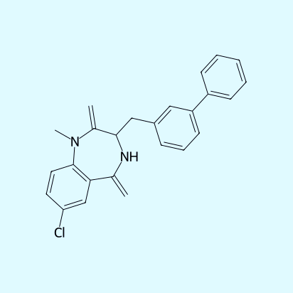 C=C1NC(Cc2cccc(-c3ccccc3)c2)C(=C)N(C)c2ccc(Cl)cc21